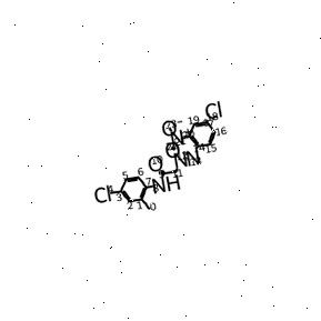 Cc1cc(Cl)ccc1NC(=O)CN=Nc1ccc(Cl)cc1[N+](=O)[O-]